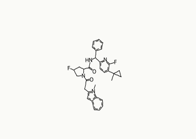 Cn1c(CC(=O)N2CC(F)CC2C(=O)NC(c2ccccc2)c2ccc(C3(C)CC3)c(F)n2)cc2ccccc21